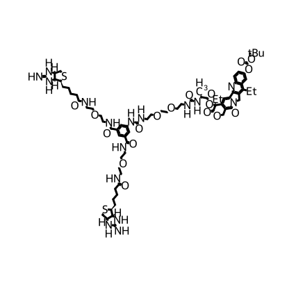 CCc1c2c(nc3ccc(OC(=O)OC(C)(C)C)cc13)-c1cc3c(c(=O)n1C2)COC(=O)[C@@]3(CC)OC(=O)[C@H](C)NC(=O)NCCOCCOCCNC(=O)Nc1cc(C(=O)NCCOCCNC(=O)CCCC[C@@H]2SC[C@@H]3NC(=N)N[C@@H]32)cc(C(=O)NCCOCCNC(=O)CCCC[C@@H]2SC[C@@H]3NC(=N)N[C@@H]32)c1